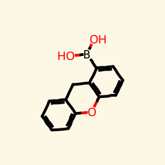 OB(O)c1cccc2c1Cc1ccccc1O2